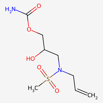 C=CCN(CC(O)COC(N)=O)S(C)(=O)=O